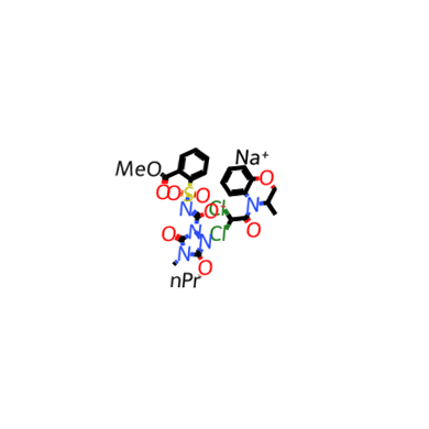 CC1COc2ccccc2N1C(=O)C(Cl)Cl.CCCOc1nn(/C([O-])=N/S(=O)(=O)c2ccccc2C(=O)OC)c(=O)n1C.[Na+]